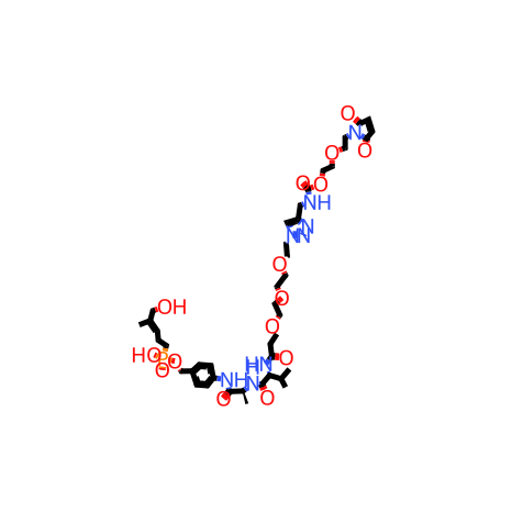 C/C(=C\CCP(=O)(O)OCc1ccc(NC(=O)[C@H](C)NC(=O)[C@@H](NC(=O)CCOCCOCCOCCn2cc(CNC(=O)OCCOCCN3C(=O)C=CC3=O)nn2)C(C)C)cc1)CO